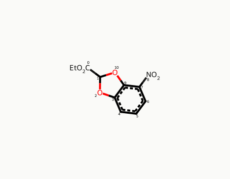 CCOC(=O)C1Oc2cccc([N+](=O)[O-])c2O1